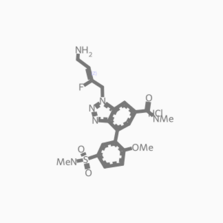 CNC(=O)c1cc(-c2cc(S(=O)(=O)NC)ccc2OC)c2nnn(C/C(F)=C/CN)c2c1.Cl